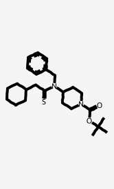 CC(C)(C)OC(=O)N1CCC(N(Cc2ccccc2)C(=S)CC2CCCCC2)CC1